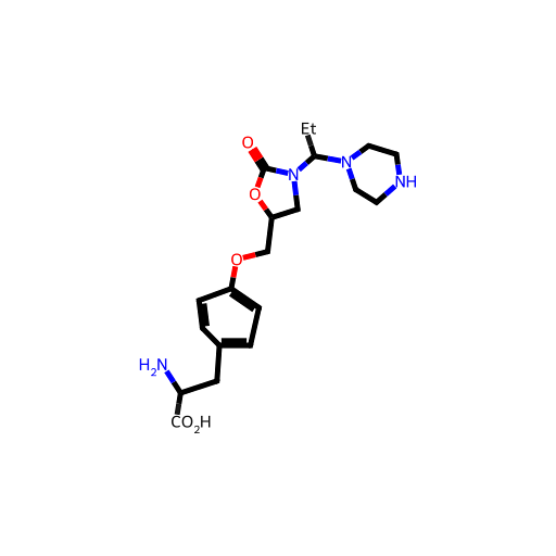 CCC(N1CCNCC1)N1CC(COc2ccc(CC(N)C(=O)O)cc2)OC1=O